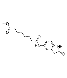 COC(=O)CCCCCCC(=O)Nc1ccc2c(c1)CC(=O)N2